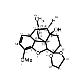 COC1=C2OC3C4(CCC5(O)[C@H]6CC(C=C1)C2[C@@]35CCN6C)OCCCO4